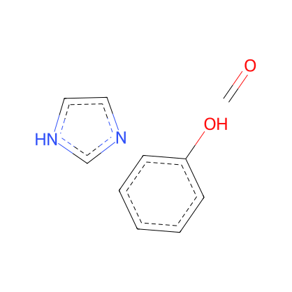 C=O.Oc1ccccc1.c1c[nH]cn1